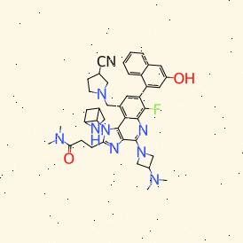 CN(C)C(=O)CCc1nc2c(N3CC(N(C)C)C3)nc3c(F)c(-c4cc(O)cc5ccccc45)cc(CN4CCC(C#N)C4)c3c2n1C1C2CNC1C2